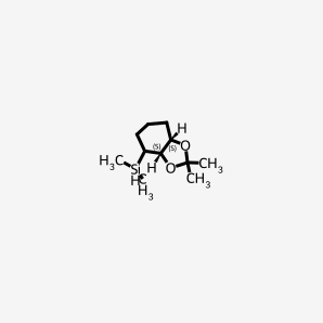 C[SiH](C)C1CCC[C@@H]2OC(C)(C)O[C@H]12